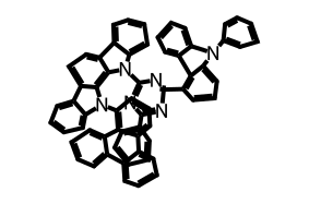 c1ccc(-c2nc(-c3cccc4c3c3ccccc3n4-c3ccccc3)nc(-n3c4ccccc4c4ccc5c6ccccc6n(-c6cccc7c8ccccc8c8ccccc8c67)c5c43)n2)cc1